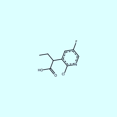 CCC(C(=O)O)c1cc(F)cnc1Cl